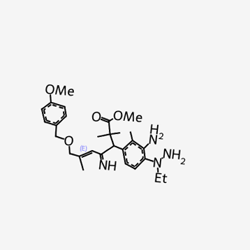 CCN(N)c1ccc(C(C(=N)/C=C(\C)COCc2ccc(OC)cc2)C(C)(C)C(=O)OC)c(C)c1N